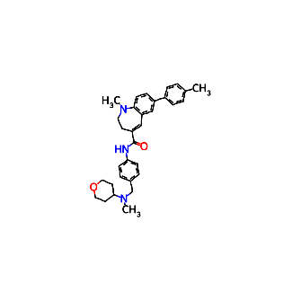 Cc1ccc(-c2ccc3c(c2)C=C(C(=O)Nc2ccc(CN(C)C4CCOCC4)cc2)CCN3C)cc1